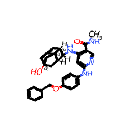 CNC(=O)c1cnc(Nc2ccc(OCc3ccccc3)cc2)cc1N[C@@H]1[C@@H]2CC3C[C@H]1C[C@@](O)(C3)C2